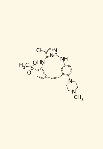 CN1CCN(c2ccc3cc2/C=C\c2ccc(S(C)(=O)=O)c(c2)Nc2nc(ncc2Cl)N3)CC1